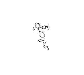 CCOC(=O)CC1CCC(c2c(C)cccc2F)CC1